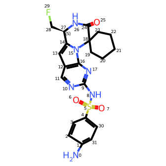 Nc1ccc(S(=O)(=O)Nc2ncc3cc4n(c3n2)C2(CCCCC2)C(=O)N[C@@H]4CF)cc1